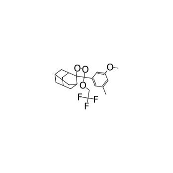 COc1cc(C)cc(C2(OCC(F)(F)F)OOC23C2CC4CC(C2)CC3C4)c1